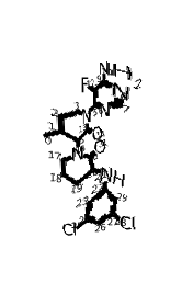 CC1CCN(c2ncnc(N)c2F)C(=O)C1N1CCCC(Nc2cc(Cl)cc(Cl)c2)C1=O